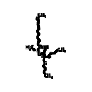 CCCCOC[C@H](OCCCC)C(CO)O[C@H](CC)OCCCCCCCCOC